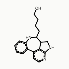 OCCCCC1Nc2ccccc2-c2ccnc3c2C1CN3